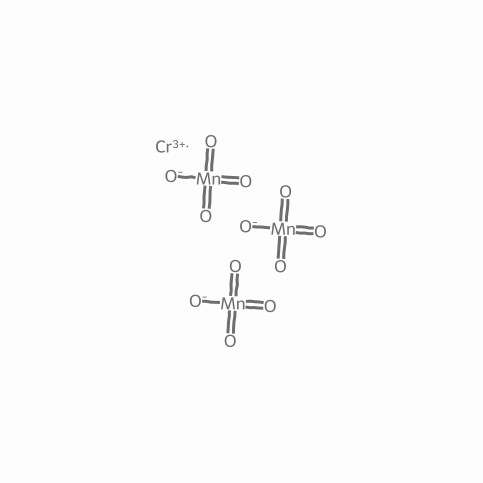 [Cr+3].[O]=[Mn](=[O])(=[O])[O-].[O]=[Mn](=[O])(=[O])[O-].[O]=[Mn](=[O])(=[O])[O-]